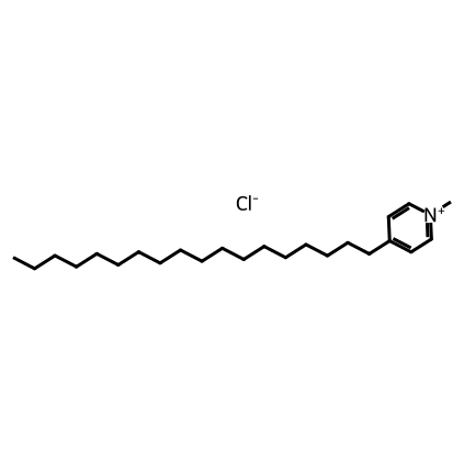 CCCCCCCCCCCCCCCCCCc1cc[n+](C)cc1.[Cl-]